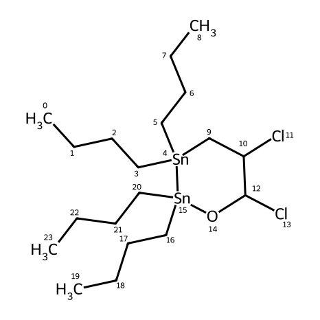 CCC[CH2][Sn]1([CH2]CCC)[CH2]C(Cl)C(Cl)[O][Sn]1([CH2]CCC)[CH2]CCC